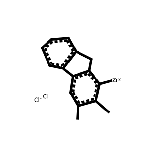 Cc1cc2c([c]([Zr+2])c1C)Cc1ccccc1-2.[Cl-].[Cl-]